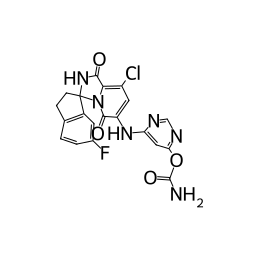 NC(=O)Oc1cc(Nc2cc(Cl)c3n(c2=O)C2(CCc4ccc(F)cc42)NC3=O)ncn1